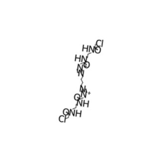 O=C(CCl)NCCCNC(=O)C[n+]1ccn(CCCCn2cc[n+](CC(=O)NCCCNC(=O)CCl)c2)c1